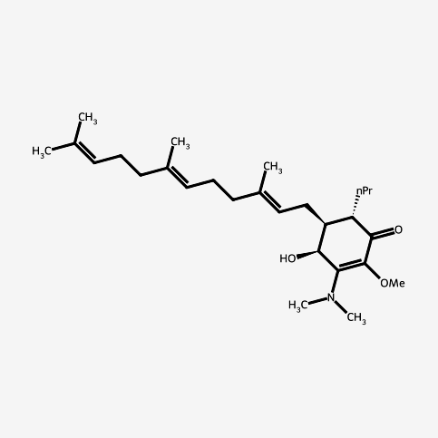 CCC[C@@H]1C(=O)C(OC)=C(N(C)C)[C@@H](O)[C@H]1C/C=C(\C)CC/C=C(\C)CCC=C(C)C